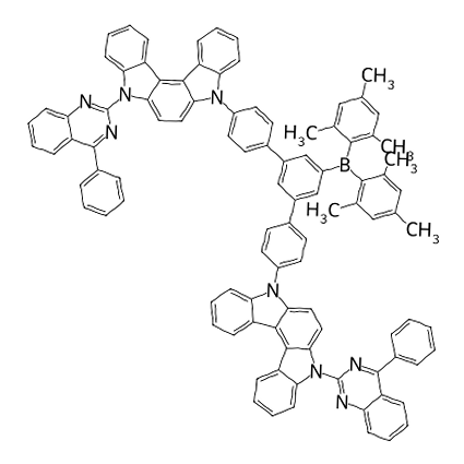 Cc1cc(C)c(B(c2cc(-c3ccc(-n4c5ccccc5c5c6c7ccccc7n(-c7nc(-c8ccccc8)c8ccccc8n7)c6ccc54)cc3)cc(-c3ccc(-n4c5ccccc5c5c6c7ccccc7n(-c7nc(-c8ccccc8)c8ccccc8n7)c6ccc54)cc3)c2)c2c(C)cc(C)cc2C)c(C)c1